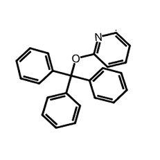 [c]1cccc(OC(c2ccccc2)(c2ccccc2)c2ccccc2)n1